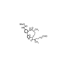 COC(=O)Nc1ccc2c(c1)NC(=O)C(C)CCCC(C(=O)N(C)CCCOC=O)c1ncc-2o1